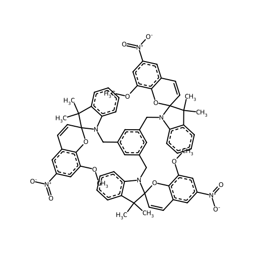 COc1cc([N+](=O)[O-])cc2c1OC1(C=C2)N(Cc2cc(CN3c4ccccc4C(C)(C)C34C=Cc3cc([N+](=O)[O-])cc(OC)c3O4)cc(CN3c4ccccc4C(C)(C)C34C=Cc3cc([N+](=O)[O-])cc(OC)c3O4)c2)c2ccccc2C1(C)C